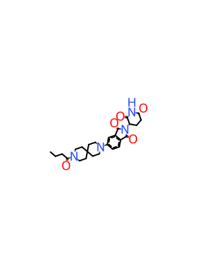 CCCC(=O)N1CCC2(CC1)CCN(c1ccc3c(c1)C(=O)N(C1CCC(=O)NC1=O)C3=O)CC2